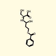 O=C(SCCC(O)N[C@@H](CO)C(=O)O)c1ccccc1